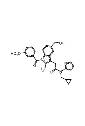 Cc1c(CC(=O)N(CC2CC2)c2nccs2)c2cc(CO)ccc2n1C(=O)c1cccc(C(=O)O)c1